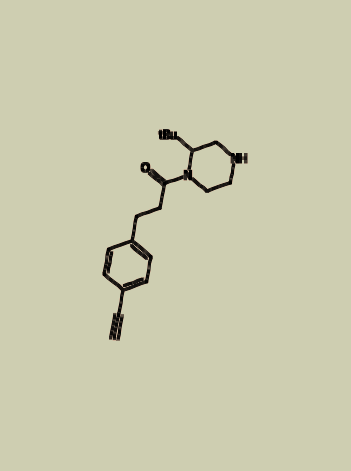 C#Cc1ccc(CCC(=O)N2CCNCC2C(C)(C)C)cc1